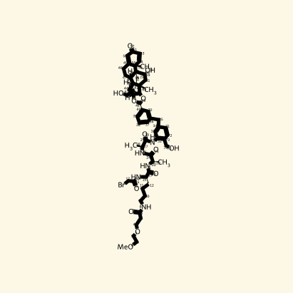 COCCOCCC(=O)NCCCC[C@H](NC(=O)CBr)C(=O)N[C@@H](C)C(=O)N[C@@H](C)C(=O)Nc1cc(Cc2cccc([C@@H]3O[C@@H]4C[C@H]5[C@@H]6CCC7=CC(=O)C=C[C@]7(C)[C@@]6(F)[C@@H](O)C[C@]5(C)[C@]4(C(=O)CO)O3)c2)ccc1CO